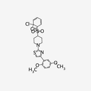 COc1ccc(OC)c(-c2csc(N3CCC(S(=O)(=O)C4C=CC=CC4(C)Cl)CC3)n2)c1